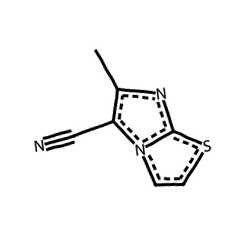 Cc1nc2sccn2c1C#N